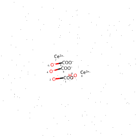 O.O=C([O-])[O-].O=C([O-])[O-].O=C([O-])[O-].[Ce+3].[Ce+3]